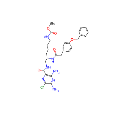 CC(C)(C)OC(=O)NCCCC[C@@H](CNC(=O)c1nc(Cl)c(N)nc1N)NC(=O)Cc1ccc(OCc2ccccc2)cc1